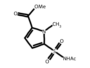 COC(=O)c1ccc(S(=O)(=O)NC(C)=O)n1C